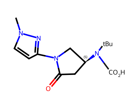 Cn1ccc(N2C[C@@H](N(C(=O)O)C(C)(C)C)CC2=O)n1